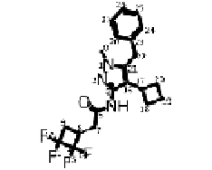 Cn1nc(NC(=O)C[C@@H]2CC(F)(F)C2(F)F)c(C2CCC2)c1Cc1ccccc1